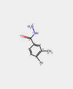 CC(=O)c1ccc(C(=O)NN)cc1C